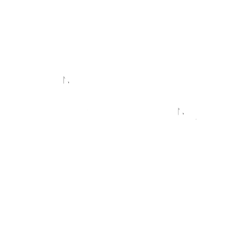 NCCC=Cc1cncc2ccccc12